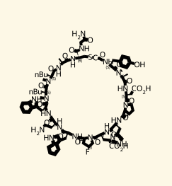 CCCC[C@H]1C(=O)N(C)[C@@H](CCCC)C(=O)N[C@@H](C)C(=O)N[C@H](C(=O)NCC(N)=O)CSCC(=O)N[C@@H](Cc2ccc(O)cc2)C(=O)N(C)[C@@H](C)C(=O)N[C@@H](CC(=O)O)C(=O)N2CCC[C@H]2C(=O)N[C@@H](Cc2c[nH]cn2)C(=O)N[C@@H](CCC(=O)O)C(=O)N2C[C@H](F)C[C@H]2C(=O)N[C@@H](Cc2c[nH]c3ccccc23)C(=O)N[C@@H](CCN)C(=O)N[C@@H](Cc2c[nH]c3ccccc23)C(=O)N1C